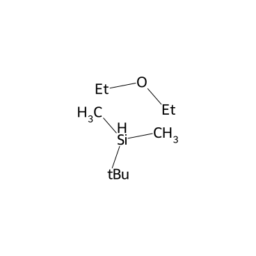 CCOCC.C[SiH](C)C(C)(C)C